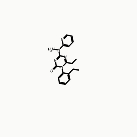 CCc1ccccc1-n1c(CC)nc(N(N)c2ccccn2)nc1=O